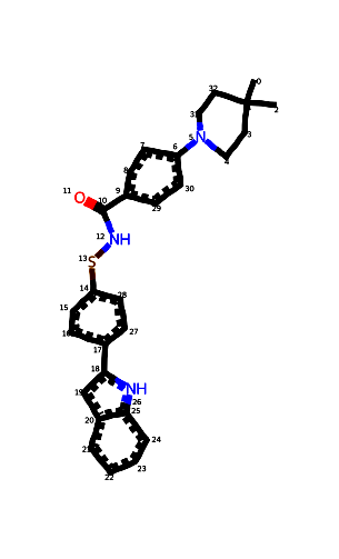 CC1(C)CCN(c2ccc(C(=O)NSc3ccc(-c4cc5ccccc5[nH]4)cc3)cc2)CC1